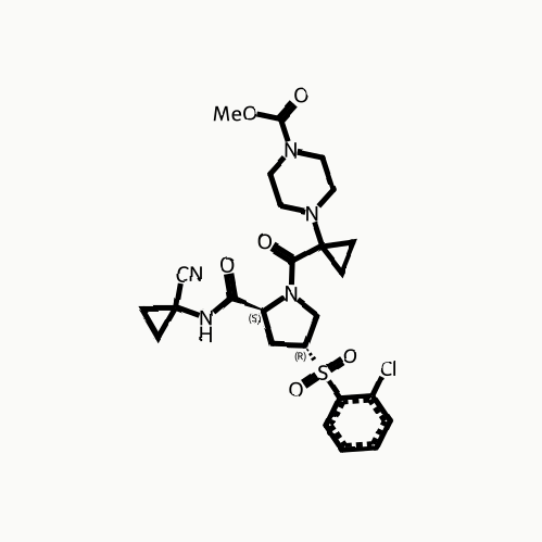 COC(=O)N1CCN(C2(C(=O)N3C[C@H](S(=O)(=O)c4ccccc4Cl)C[C@H]3C(=O)NC3(C#N)CC3)CC2)CC1